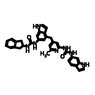 Cc1cc(Cc2cc(NC(=O)NC3Cc4ccccc4C3)cc3[nH]ccc23)cc(NC(=O)Nc2ccc3cc[nH]c3c2)n1